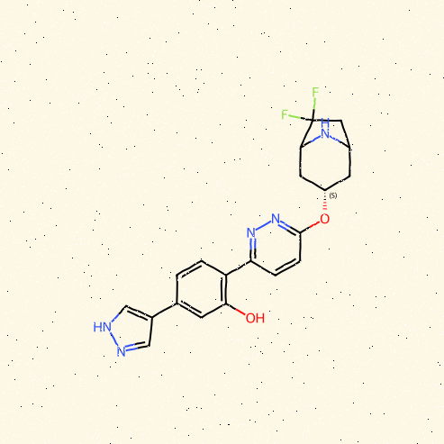 Oc1cc(-c2cn[nH]c2)ccc1-c1ccc(O[C@H]2CC3CC(F)(F)C(C2)N3)nn1